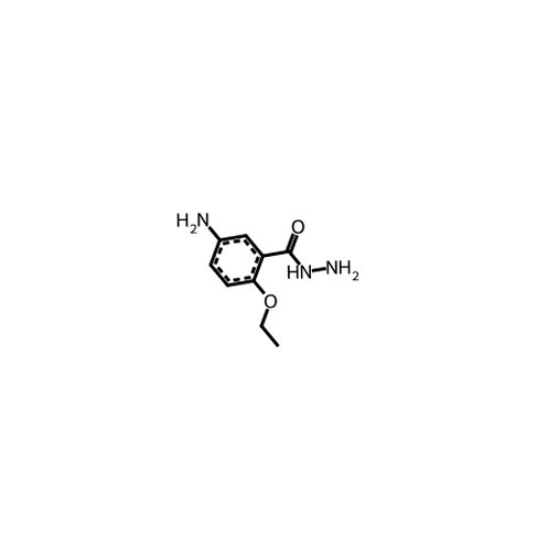 CCOc1ccc(N)cc1C(=O)NN